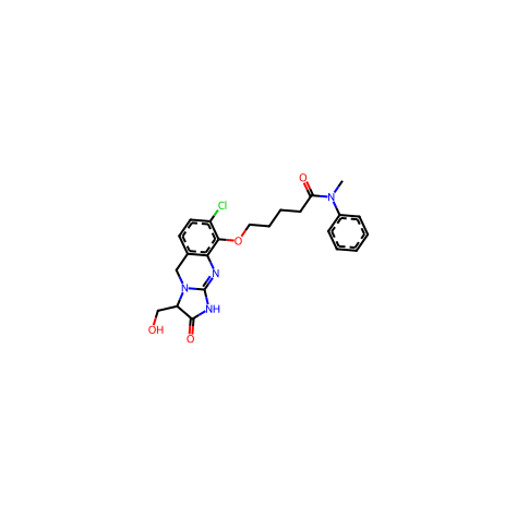 CN(C(=O)CCCCOc1c(Cl)ccc2c1N=C1NC(=O)C(CO)N1C2)c1ccccc1